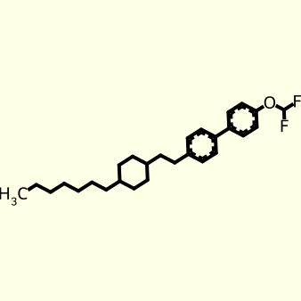 CCCCCCCC1CCC(CCc2ccc(-c3ccc(OC(F)F)cc3)cc2)CC1